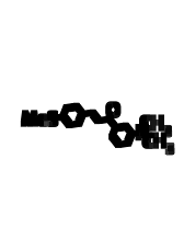 CSc1ccc(/C=C/C(=O)c2cccc(N(C)C)c2)cc1